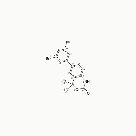 CC1(C)OC(=O)Nc2ccc(-c3cc(F)cc(Br)c3)cc21